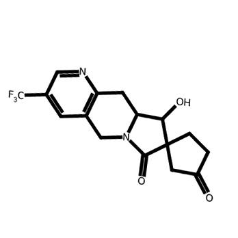 O=C1CCC2(C1)C(=O)N1Cc3cc(C(F)(F)F)cnc3CC1C2O